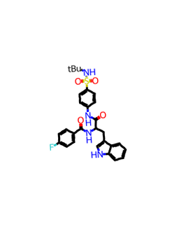 CC(C)(C)NS(=O)(=O)c1ccc(NC(=O)C(Cc2c[nH]c3ccccc23)NC(=O)c2ccc(F)cc2)cc1